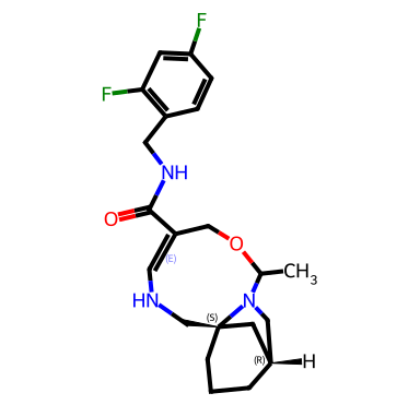 CC1OC/C(C(=O)NCc2ccc(F)cc2F)=C\NC[C@@]23CCC[C@@H](CN12)C3